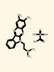 Cc1cc2nc3c4ccccc4n(CCN(C)C)c3nc2cc1C.O=C(O)P(=O)(O)O